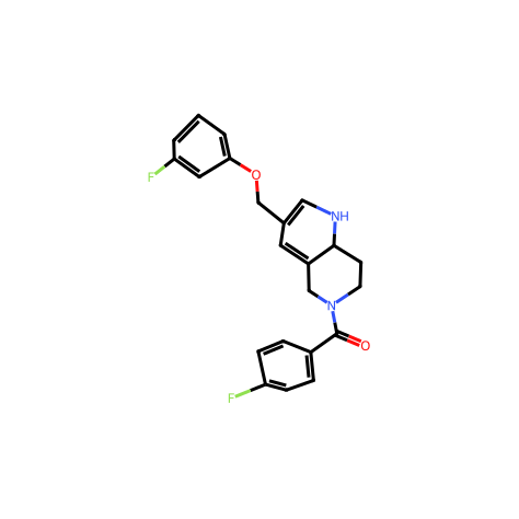 O=C(c1ccc(F)cc1)N1CCC2NC=C(COc3cccc(F)c3)C=C2C1